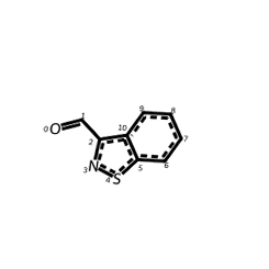 O=Cc1nsc2ccccc12